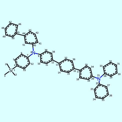 C[Si](C)(C)c1ccc(N(c2ccc(-c3ccc(-c4ccc(N(c5ccccc5)c5ccccc5)cc4)cc3)cc2)c2cccc(-c3ccccc3)c2)cc1